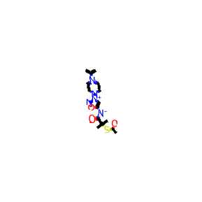 CC(=O)SC(C)(C)C(=O)[N-]c1c[n+](N2CCN(C(C)C)CC2)no1